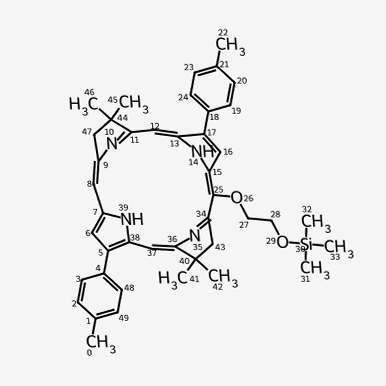 Cc1ccc(-c2cc3cc4nc(cc5[nH]c(cc5-c5ccc(C)cc5)c(OCCO[Si](C)(C)C)c5nc(cc2[nH]3)C(C)(C)C5)C(C)(C)C4)cc1